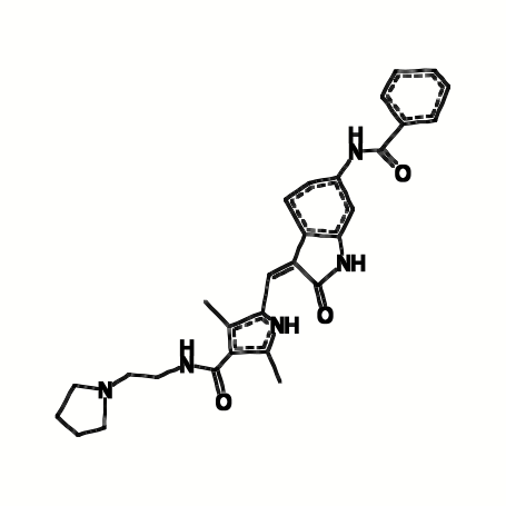 Cc1[nH]c(/C=C2\C(=O)Nc3cc(NC(=O)c4ccccc4)ccc32)c(C)c1C(=O)NCCN1CCCC1